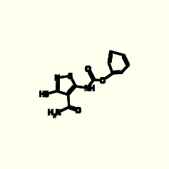 NC(=O)c1c(S)nsc1NC(=O)Oc1ccccc1